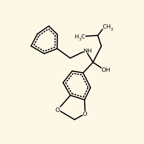 CC(C)CC(O)(NCc1ccccc1)c1ccc2c(c1)OCO2